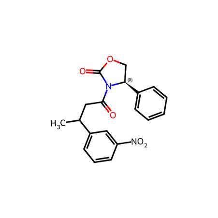 CC(CC(=O)N1C(=O)OC[C@H]1c1ccccc1)c1cccc([N+](=O)[O-])c1